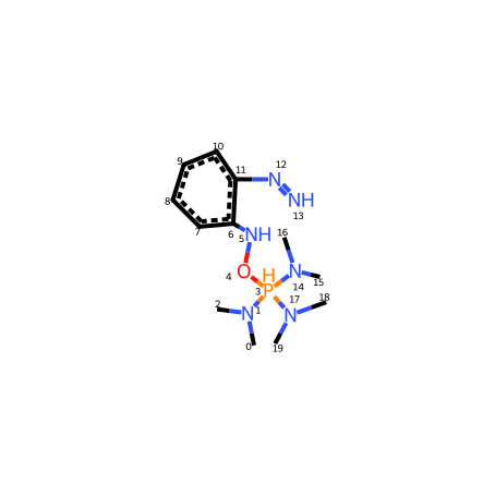 CN(C)[PH](ONc1ccccc1N=N)(N(C)C)N(C)C